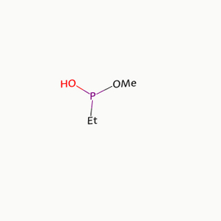 CCP(O)OC